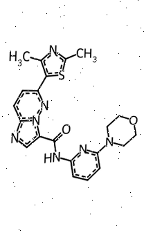 Cc1nc(C)c(-c2ccc3ncc(C(=O)Nc4cccc(N5CCOCC5)n4)n3n2)s1